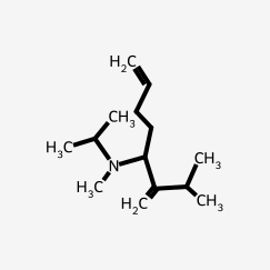 C=CCCC(C(=C)C(C)C)N(C)C(C)C